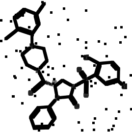 Cc1ccc(C)c(N2CCN(C(=O)[C@@H]3CN(S(=O)(=O)c4cc(Cl)ccc4Cl)C(=O)N3c3ccccc3)CC2)c1